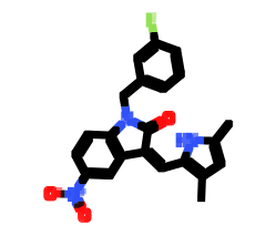 Cc1cc(C)c(/C=C2\C(=O)N(Cc3cccc(F)c3)c3ccc([N+](=O)[O-])cc32)[nH]1